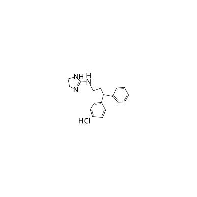 Cl.c1ccc(C(CCNC2=NCCN2)c2ccccc2)cc1